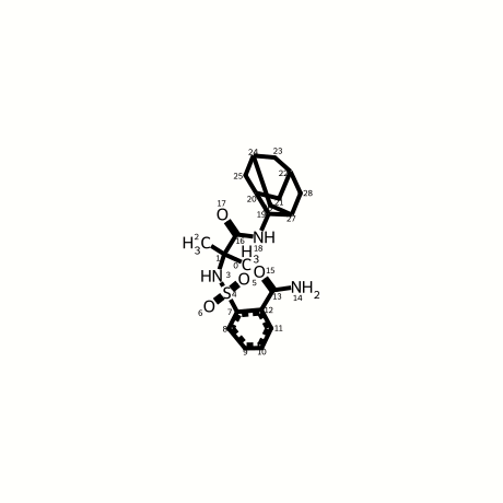 CC(C)(NS(=O)(=O)c1ccccc1C(N)=O)C(=O)NC1C2CC3CC(C2)CC1C3